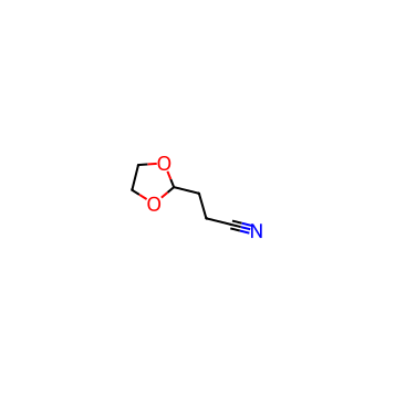 N#CCCC1OCCO1